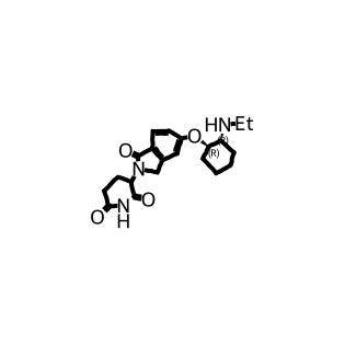 CCN[C@@H]1CCCC[C@H]1Oc1ccc2c(c1)CN(C1CCC(=O)NC1=O)C2=O